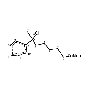 CCCCCCCCCCCCCCC(C)(Cl)c1ccccc1